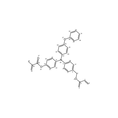 C=CC(=C)OCc1ccc(N(c2ccc(OC(=O)C(=C)C)cc2)c2ccc(Oc3ccccc3)cc2)cc1